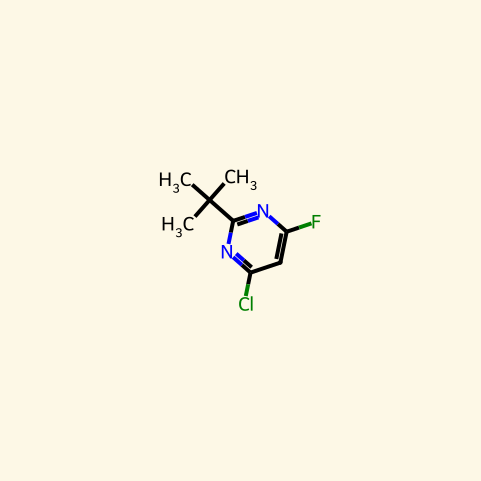 CC(C)(C)c1nc(F)cc(Cl)n1